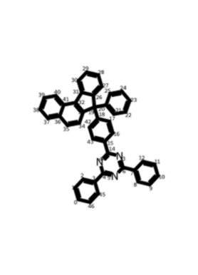 c1ccc(-c2nc(-c3ccccc3)nc(-c3ccc(C4(c5ccccc5)c5ccccc5-c5c4ccc4ccccc54)cc3)n2)cc1